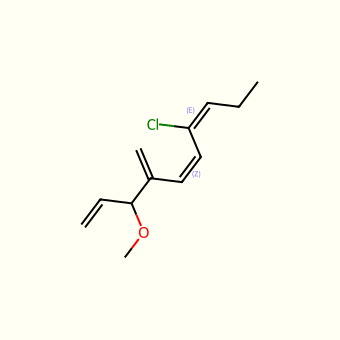 C=CC(OC)C(=C)/C=C\C(Cl)=C/CC